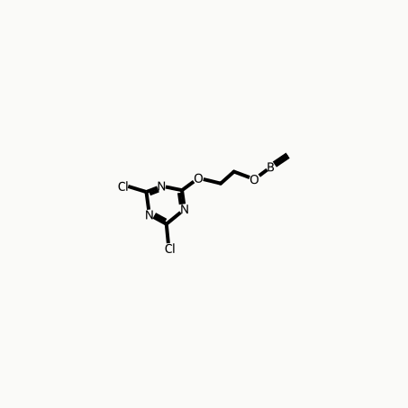 C=BOCCOc1nc(Cl)nc(Cl)n1